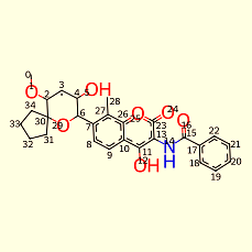 COC1[CH]C(O)C(c2ccc3c(O)c(NC(=O)c4ccccc4)c(=O)oc3c2C)OC12CCCC2